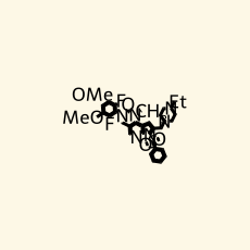 CCN1CCN(Cc2cc3c4c(cnc3n2S(=O)(=O)c2ccccc2)CN(c2c(F)c(OC)cc(OC)c2F)C(=O)N4C)CC1